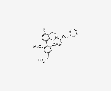 COc1cc(CC(=O)O)cc(OC)c1-c1ccc(F)c2c1CN(C(=O)OCc1ccccc1)CC2